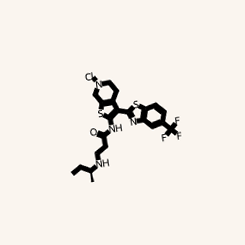 CC[C@H](C)NCCC(=O)Nc1sc2c(c1-c1nc3cc(C(F)(F)F)ccc3s1)CCN(Cl)C2